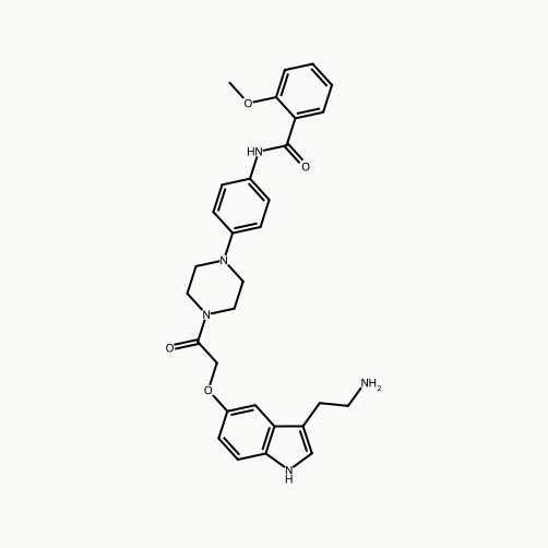 COc1ccccc1C(=O)Nc1ccc(N2CCN(C(=O)COc3ccc4[nH]cc(CCN)c4c3)CC2)cc1